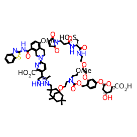 COCCN(CCOC12CC(C)(C)CC(C)(CC(C)(CN/C(C)=C(\C=N)c3ccc(N4CCc5c(OC)ccc(C(=O)Nc6nc7ccccc7s6)c5C4)nc3C(=O)O)C1)C2)C(=O)OCc1ccc(O[C@H]2C[C@@H](O)C[C@@H](C(=O)O)O2)cc1OCCOCCNC(=O)[C@H](CS(=O)(=O)O)NC(=O)CCN1C(=O)C=CC1=O